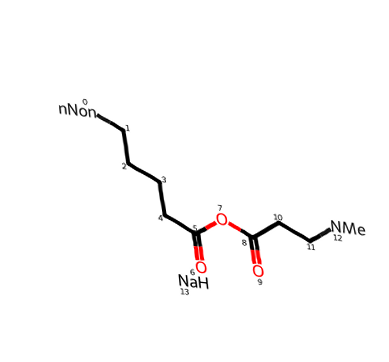 CCCCCCCCCCCCCC(=O)OC(=O)CCNC.[NaH]